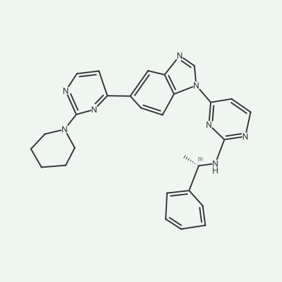 C[C@H](Nc1nccc(-n2cnc3cc(-c4ccnc(N5CCCCC5)n4)ccc32)n1)c1ccccc1